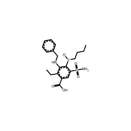 CCCC[S+]([O-])c1c(S(N)(=O)=O)cc(C(=O)O)c(CC)c1NCc1ccccc1